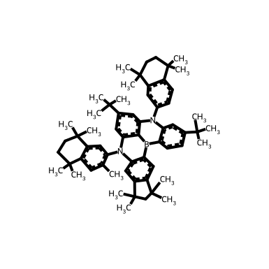 Cc1cc2c(cc1N1c3cc4c(cc3B3c5ccc(C(C)(C)C)cc5N(c5ccc6c(c5)C(C)(C)CCC6(C)C)c5cc(C(C)(C)C)cc1c53)C(C)(C)CC4(C)C)C(C)(C)CCC2(C)C